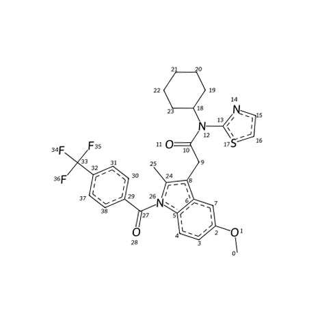 COc1ccc2c(c1)c(CC(=O)N(c1nccs1)C1CCCCC1)c(C)n2C(=O)c1ccc(C(F)(F)F)cc1